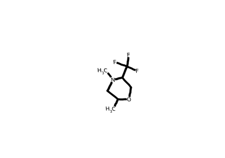 CC1CN(C)C(C(F)(F)F)CO1